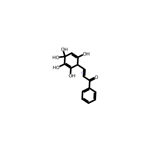 O=C(/C=C/C1C(O)=CC(O)(O)C(O)=C1O)c1ccccc1